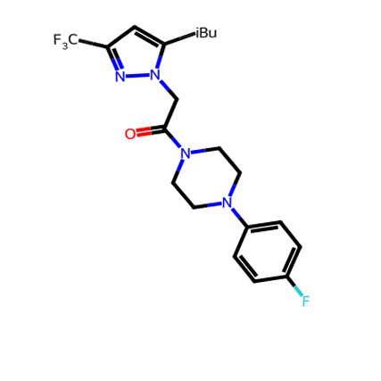 CCC(C)c1cc(C(F)(F)F)nn1CC(=O)N1CCN(c2ccc(F)cc2)CC1